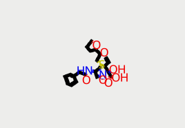 C=CCC(O)(C(=O)O)[N+]1([O-])CC(NC(=O)Cc2ccccc2)C1SCC(=O)C1CCCO1